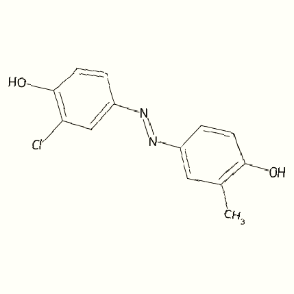 Cc1cc(N=Nc2ccc(O)c(Cl)c2)ccc1O